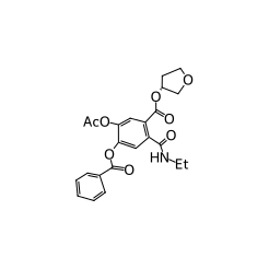 CCNC(=O)c1cc(OC(=O)c2ccccc2)c(OC(C)=O)cc1C(=O)O[C@@H]1CCOC1